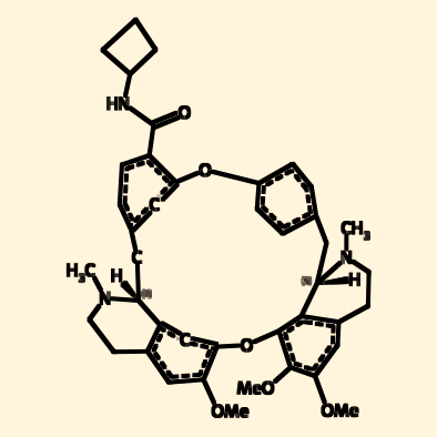 COc1cc2c3cc1Oc1c(OC)c(OC)cc4c1[C@H](Cc1ccc(cc1)Oc1cc(ccc1C(=O)NC1CCC1)C[C@H]3N(C)CC2)N(C)CC4